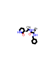 CC(C)C[C@H](NCC1CCCCC1)C(=O)N[C@H](C#N)C[C@@H]1CCCNC1=O